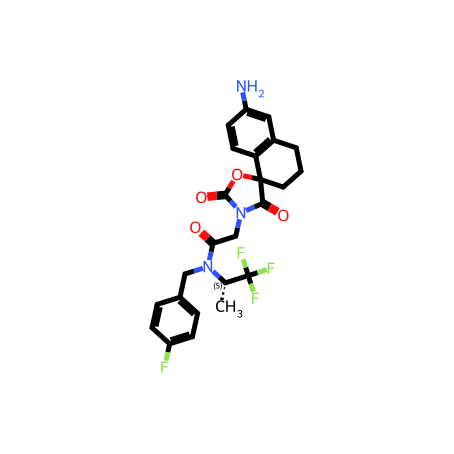 C[C@H](N(Cc1ccc(F)cc1)C(=O)CN1C(=O)OC2(CCCc3cc(N)ccc32)C1=O)C(F)(F)F